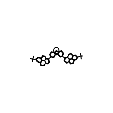 CC(C)(C)c1cc2ccc3ccc(-c4ccc5oc6ccc(-c7ccc8ccc9cc(C(C)(C)C)cc%10ccc7c8c9%10)cc6c5c4)c4ccc(c1)c2c34